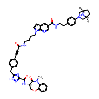 CN1C(=O)[C@@H](NC(=O)c2n[nH]c(Cc3ccc(C#CC(=O)NCCCCn4ccc5cc(C(=O)NCCc6ccc(N7C[C@H]8CC[C@@H](C7)N8)cc6)cnc54)cc3)n2)COc2ccccc21